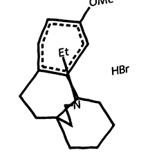 Br.CCN1CCC23CCCCC12c1cc(OC)ccc1CC3